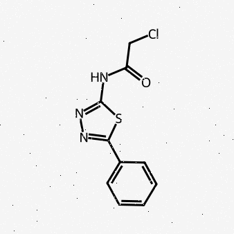 O=C(CCl)Nc1nnc(-c2ccccc2)s1